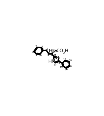 O=C(O)NC(CCc1ccccc1)c1nc(-c2ccccc2)c[nH]1